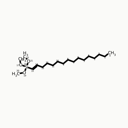 CCCCCCCCCCCCCCC=C[Si](OC)(OC)OC